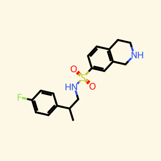 CC(CNS(=O)(=O)c1ccc2c(c1)CNCC2)c1ccc(F)cc1